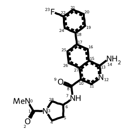 CNC(=O)N1CCC(NC(=O)c2cnc(N)c3cc(-c4cccc(F)c4)ccc23)C1